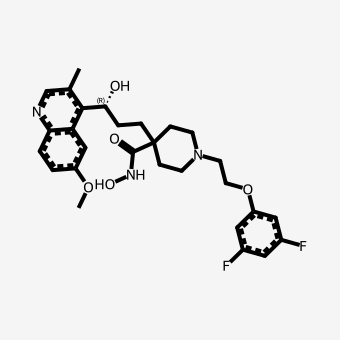 COc1ccc2ncc(C)c([C@H](O)CCC3(C(=O)NO)CCN(CCOc4cc(F)cc(F)c4)CC3)c2c1